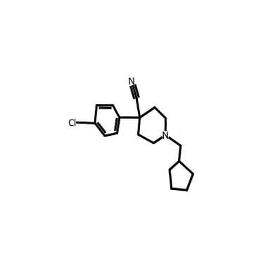 N#CC1(c2ccc(Cl)cc2)CCN(CC2CCCC2)CC1